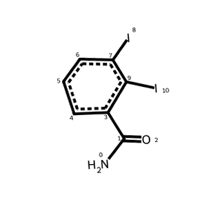 NC(=O)c1cccc(I)c1I